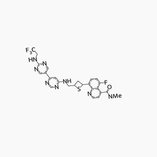 CNC(=O)c1ccnc2c(C3CC(CNc4cc(-c5cnc(NCC(F)(F)F)nc5)ncn4)S3)ccc(F)c12